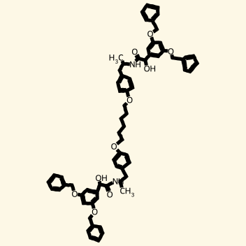 CC(Cc1ccc(OCCCCCCOc2ccc(CC(C)NC(=O)C(O)c3cc(OCc4ccccc4)cc(OCc4ccccc4)c3)cc2)cc1)NC(=O)C(O)c1cc(OCc2ccccc2)cc(OCc2ccccc2)c1